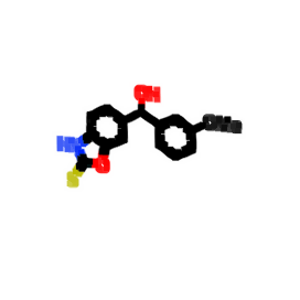 COc1cccc(C(O)c2ccc3[nH]c(=S)oc3c2)c1